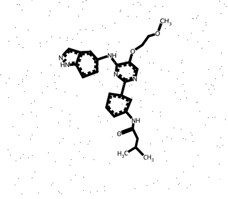 COCCOc1cnc(-c2cccc(NC(=O)CC(C)C)c2)nc1Nc1ccc2[nH]ncc2c1